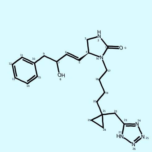 O=C1NC[C@H](/C=C/C(O)Cc2ccccc2)N1CCCCC1(Cc2nnn[nH]2)CC1